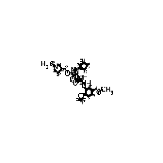 COCc1ccc(OC(F)F)c(CNC(=O)Nc2c(C)c(OCC3CCN(C)C3)nn2-c2ccccc2)c1